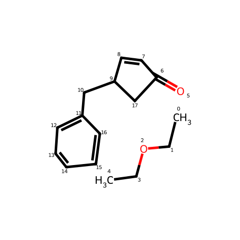 CCOCC.O=C1C=CC(Cc2ccccc2)C1